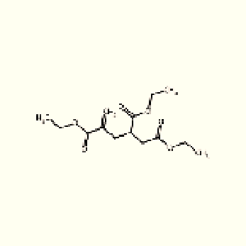 C=C(CC(CC(=O)OCC)C(=O)OCC)C(=O)OCC